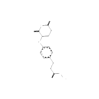 CC(C)(C)OC(=O)CCc1ccc(NC2CCC(=O)NC2=O)cc1